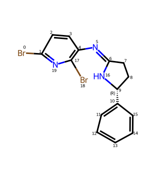 Brc1ccc(N=C2CC[C@H](c3ccccc3)N2)c(Br)n1